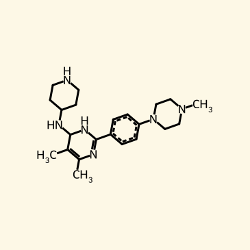 CC1=C(C)C(NC2CCNCC2)NC(c2ccc(N3CCN(C)CC3)cc2)=N1